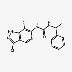 CC(NC(=O)Nc1ncc2c(Cl)n[nH]c2c1F)c1ccccc1